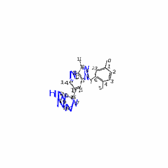 Cc1ccc(C)c(Cn2nc(C)c3ncc(-c4nnn[nH]4)cc32)c1